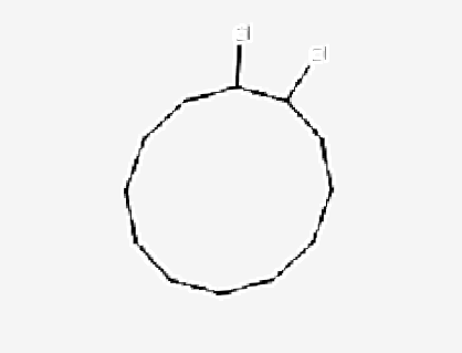 ClC1CCCCCCCCCCC1Cl